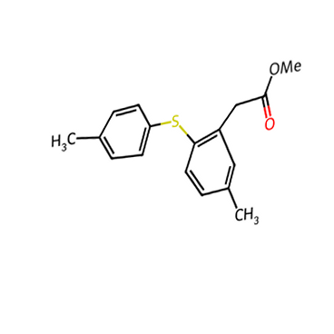 COC(=O)Cc1cc(C)ccc1Sc1ccc(C)cc1